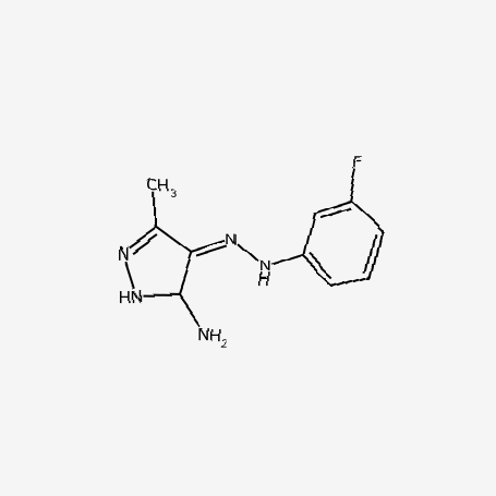 CC1=NNC(N)C1=NNc1cccc(F)c1